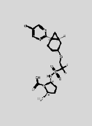 C[C@@H]1CC[C@@H](NS(=O)(=O)C(F)(F)CO[C@H]2CC[C@@]3(c4ncc(Cl)cn4)C[C@H]3C2)N1C(=O)O